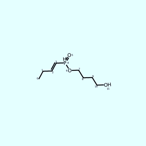 CCC=C[PH](=O)OCCCCO